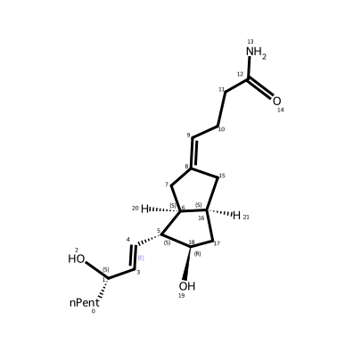 CCCCC[C@H](O)/C=C/[C@@H]1[C@H]2CC(=CCCC(N)=O)C[C@H]2C[C@H]1O